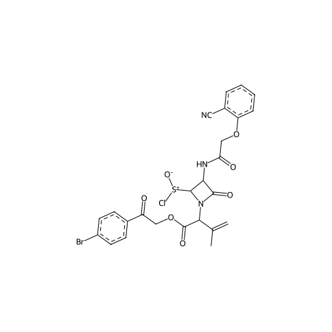 C=C(C)C(C(=O)OCC(=O)c1ccc(Br)cc1)N1C(=O)C(NC(=O)COc2ccccc2C#N)C1[S+]([O-])Cl